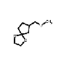 COCC1CCC2(C1)OCCO2